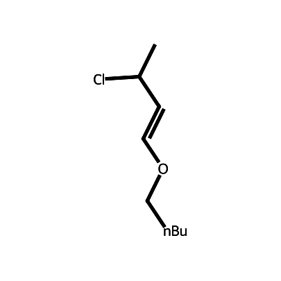 CCCCCOC=CC(C)Cl